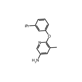 Cc1cc(N)cnc1Oc1cccc(C(C)C)c1